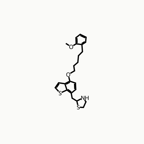 COc1ccccc1CCCCCOc1ccc(CC2NCCS2)c2sccc12